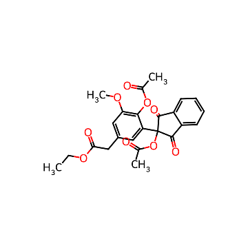 CCOC(=O)Cc1cc(OC)c(OC(C)=O)c(C2(OC(C)=O)C(=O)c3ccccc3C2=O)c1